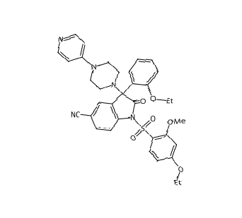 CCOc1ccc(S(=O)(=O)N2C(=O)C(c3ccccc3OCC)(N3CCN(c4ccncc4)CC3)c3cc(C#N)ccc32)c(OC)c1